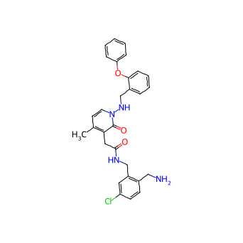 Cc1ccn(NCc2ccccc2Oc2ccccc2)c(=O)c1CC(=O)NCc1cc(Cl)ccc1CN